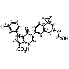 O=C(O)c1nn(-c2cccc(Cl)c2)c2c1CCN(c1ccc3c(c1)CN(CCO)CC31CC1)C2=O